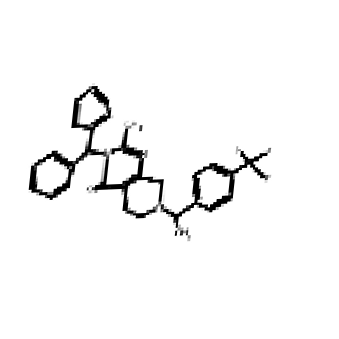 Cc1nc2c(c(=O)n1C(c1ccccc1)c1ccccc1)CCN(C(C)c1ccc(C(F)(F)F)cc1)C2